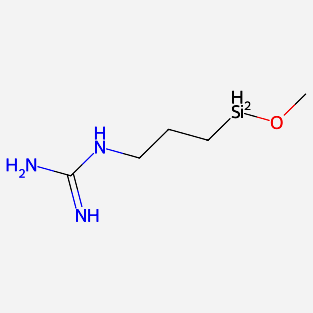 CO[SiH2]CCCNC(=N)N